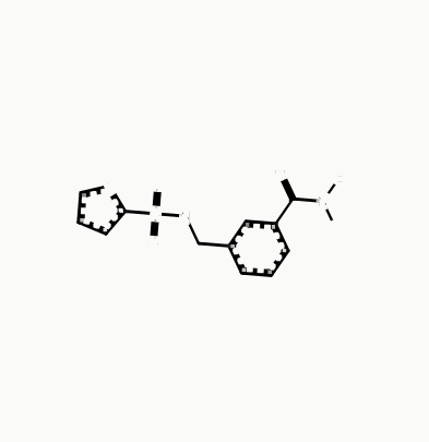 CCN(CC)C(=O)c1cccc(CNS(=O)(=O)c2cccs2)c1